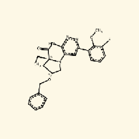 CC[C@]12C[C@@H](OCc3ccccc3)CN1c1cc(-c3cccc(F)c3OC)nnc1NC2=O